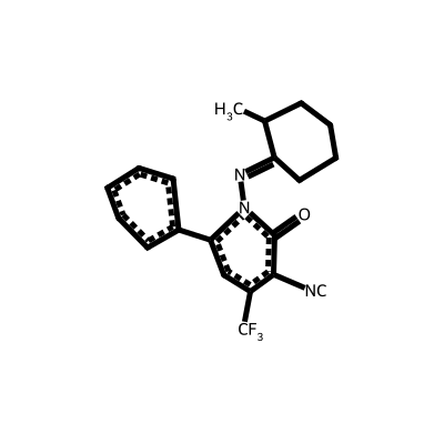 [C-]#[N+]c1c(C(F)(F)F)cc(-c2ccccc2)n(/N=C2\CCCCC2C)c1=O